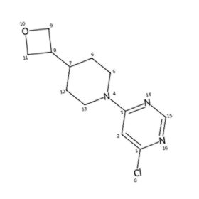 Clc1cc(N2CCC(C3COC3)CC2)ncn1